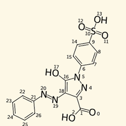 O=C(O)c1nn(-c2ccc(S(=O)(=O)O)cc2)c(O)c1N=Nc1ccccc1